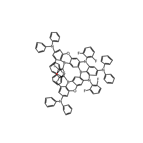 Fc1cccc(F)c1N1c2cc3c(cc2B2c4cc5c(cc4N(c4c(F)cccc4F)c4cc(N(c6ccccc6)c6ccccc6)cc1c42)Oc1cc(N(c2ccccc2)c2ccccc2)cc2c1B5c1sc4ccccc4c1S2)B1c2sc4ccccc4c2Sc2cc(N(c4ccccc4)c4ccccc4)cc(c21)O3